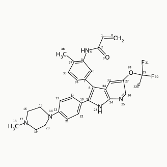 C=CC(=O)Nc1cc(-c2c(-c3ccc(N4CCN(C)CC4)cc3)[nH]c3ncc(OC(F)(F)F)cc23)ccc1C